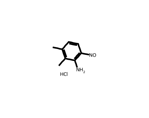 Cc1ccc(N=O)c(N)c1C.Cl